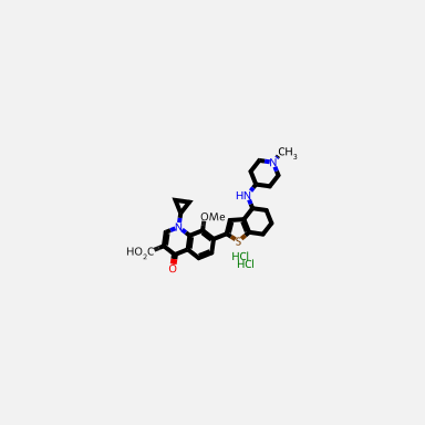 COc1c(-c2cc3c(s2)CCCC3NC2CCN(C)CC2)ccc2c(=O)c(C(=O)O)cn(C3CC3)c12.Cl.Cl